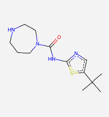 CC(C)(C)c1cnc(NC(=O)N2CCCNCC2)s1